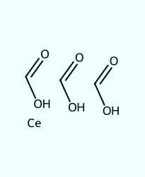 O=CO.O=CO.O=CO.[Ce]